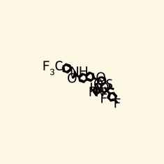 CC(SC1COC(c2ccc3cc(C(=O)Nc4ccc(C(F)(F)F)cc4)ccc3c2)OC1)C(O)(Cn1cncn1)c1ccc(F)cc1F